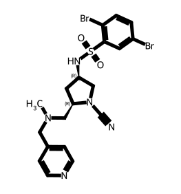 CN(Cc1ccncc1)C[C@H]1C[C@@H](NS(=O)(=O)c2cc(Br)ccc2Br)CN1C#N